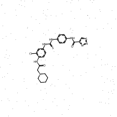 O=C(CN1CCCCC1)Nc1ccc(NC(=S)Nc2ccc(NC(=O)c3csnn3)cc2)cc1Cl